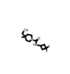 CC1(CC#N)CCN(C(=O)NC2CC(F)(F)C2)CC1